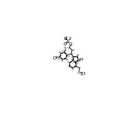 CCSCc1cccc2c(C(CCOS(C)(=O)=O)c3ccc(Cl)cc3C)c[nH]c12